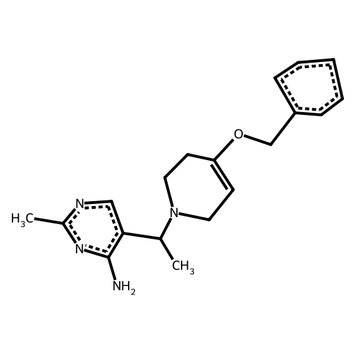 Cc1ncc(C(C)N2CC=C(OCc3ccccc3)CC2)c(N)n1